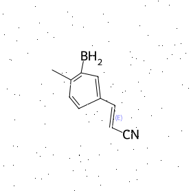 Bc1cc(/C=C/C#N)ccc1C